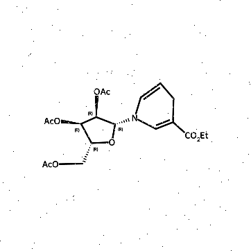 CCOC(=O)C1=CN([C@@H]2O[C@H](COC(C)=O)[C@@H](OC(C)=O)[C@H]2OC(C)=O)C=CC1